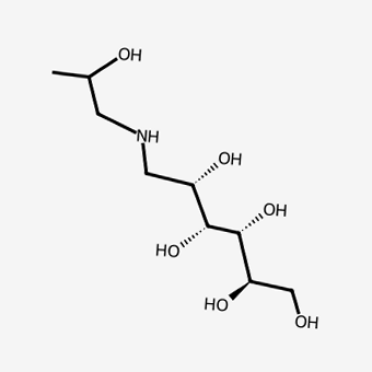 CC(O)CNC[C@H](O)[C@@H](O)[C@H](O)[C@H](O)CO